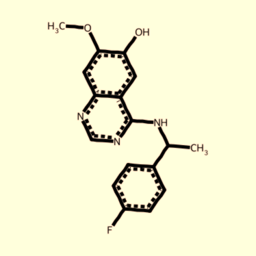 COc1cc2ncnc(NC(C)c3ccc(F)cc3)c2cc1O